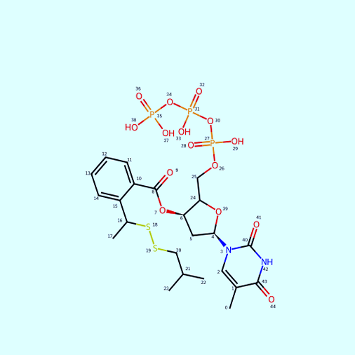 Cc1cn([C@H]2C[C@@H](OC(=O)c3ccccc3C(C)SSCC(C)C)C(COP(=O)(O)OP(=O)(O)OP(=O)(O)O)O2)c(=O)[nH]c1=O